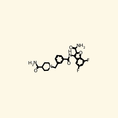 NC(=O)c1oc2c(F)cc(F)cc2c1NC(=O)c1cccc(CN2CCC(C(N)=O)CC2)c1